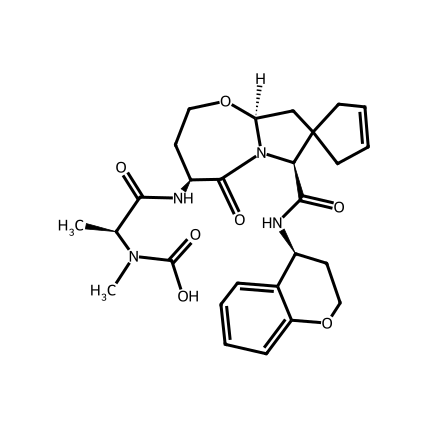 C[C@@H](C(=O)N[C@H]1CCO[C@H]2CC3(CC=CC3)[C@@H](C(=O)N[C@H]3CCOc4ccccc43)N2C1=O)N(C)C(=O)O